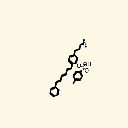 C[N+](C)(C)CCCc1ccc(C=CC=CC=Cc2ccccc2)cc1.Cc1ccc(S(=O)(=O)O)cc1